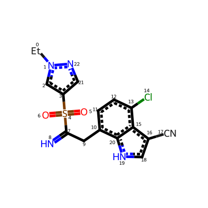 CCn1cc(S(=O)(=O)C(=N)Cc2ccc(Cl)c3c(C#N)c[nH]c23)cn1